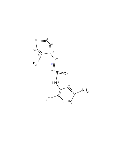 Nc1ccc(F)c(NC(=O)/C=C/c2ccccc2C(F)(F)F)c1